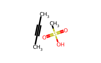 CC#CC.CS(=O)(=O)O